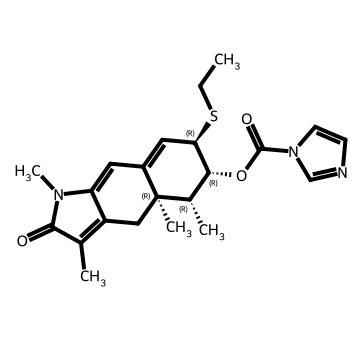 CCS[C@@H]1C=C2C=C3C(=C(C)C(=O)N3C)C[C@]2(C)[C@@H](C)[C@H]1OC(=O)n1ccnc1